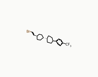 FC(F)(F)c1ccc(C2CCC([C@H]3CC[C@H](/C=C/Br)CC3)CC2)cc1